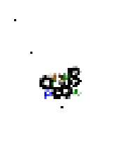 CN1C2=Cc3cc(Br)c[c]([Zr]([SH])([Cl])([Cl])[c]4cccc5c4C=CC5)c3C2c2ccccc21